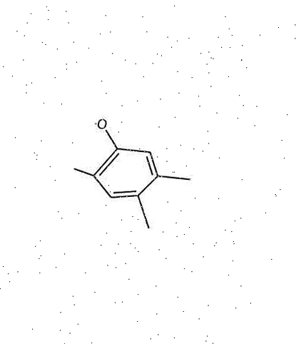 Cc1cc(C)c([O])cc1C